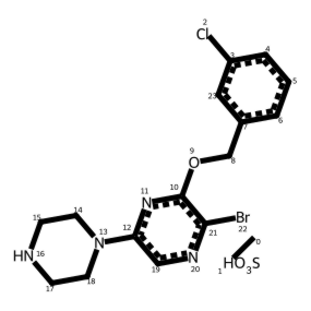 CS(=O)(=O)O.Clc1cccc(COc2nc(N3CCNCC3)cnc2Br)c1